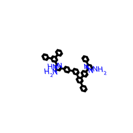 Nc1cc(-c2ccccc2)nc(-c2ccc(-c3cc(-c4ccccc4)ccc3-c3cccc(-c4ccc(C5=CC(N)NC(c6cc(-c7ccccc7)cc(-c7ccccc7)c6)=N5)cc4)c3)cc2)n1